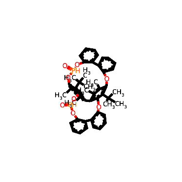 Cc1c(C)c2c3c(C(C)(C)C)c1Oc1ccccc1-c1ccccc1O[PH](=O)Oc1c(C)c(C)c-2c(c1C(C)(C)C)O[PH](=O)Oc1ccccc1-c1ccccc1O3